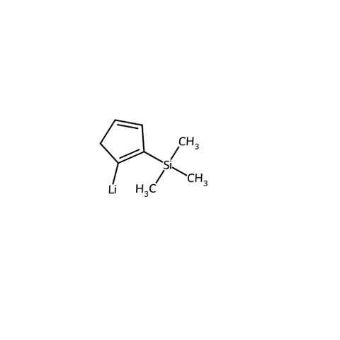 [Li][C]1=C([Si](C)(C)C)C=CC1